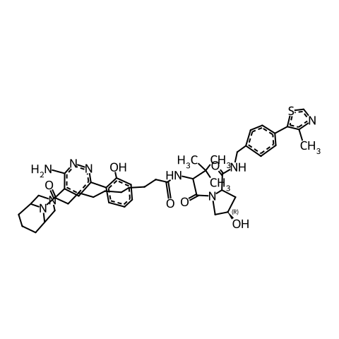 Cc1ncsc1-c1ccc(CNC(=O)C2C[C@@H](O)CN2C(=O)C(NC(=O)CCCCCCCCC(=O)N2C3CCCC2CN(c2cc(-c4ccccc4O)nnc2N)C3)C(C)(C)C)cc1